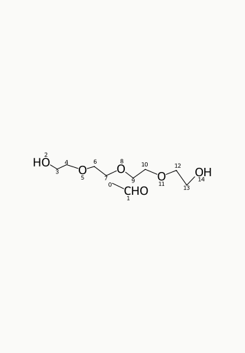 CC=O.OCCOCCOCCOCCO